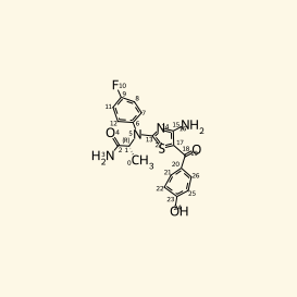 C[C@H](C(N)=O)N(c1ccc(F)cc1)c1nc(N)c(C(=O)c2ccc(O)cc2)s1